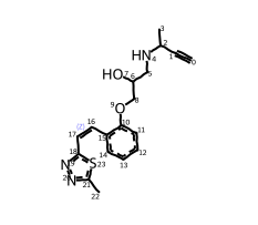 C#CC(C)NCC(O)COc1ccccc1/C=C\c1nnc(C)s1